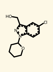 OCc1nn(C2CCCCO2)c2ccc(Cl)cc12